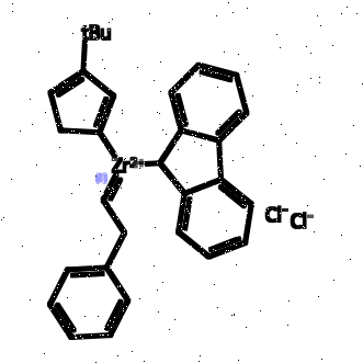 CC(C)(C)C1=CC[C](/[Zr+2](=[CH]/Cc2ccccc2)[CH]2c3ccccc3-c3ccccc32)=C1.[Cl-].[Cl-]